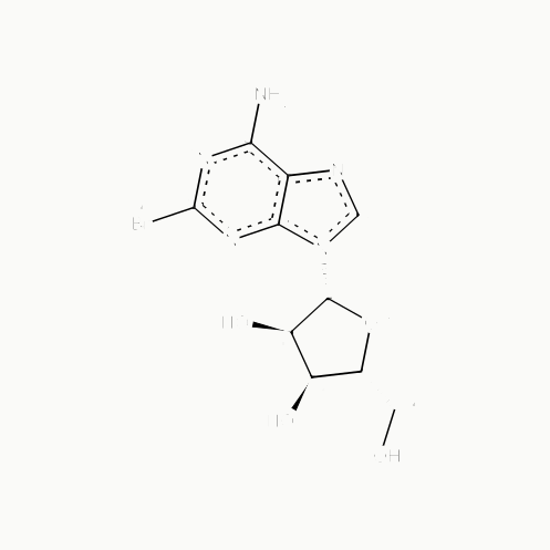 Nc1nc(Br)nc2c1ncn2[C@@H]1O[C@H](CO)[C@@H](O)[C@H]1O